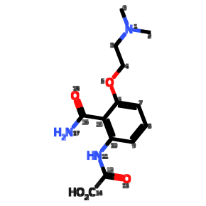 CN(C)CCOc1cccc(NC(=O)C(=O)O)c1C(N)=O